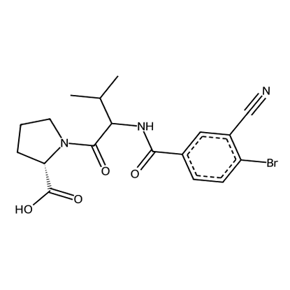 CC(C)C(NC(=O)c1ccc(Br)c(C#N)c1)C(=O)N1CCC[C@H]1C(=O)O